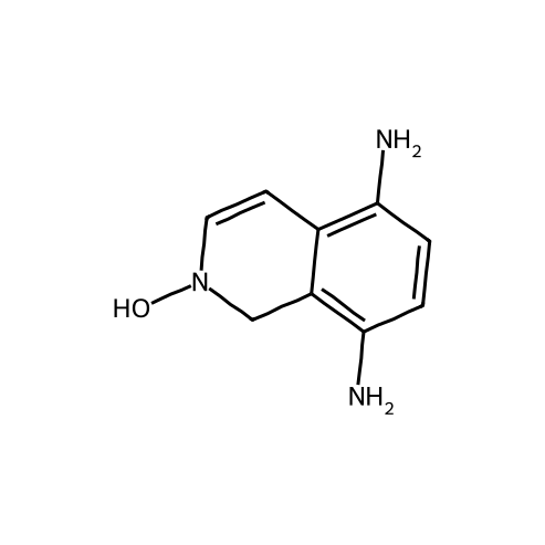 Nc1ccc(N)c2c1C=CN(O)C2